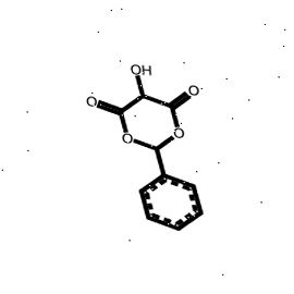 O=C1OC(c2ccccc2)OC(=O)C1O